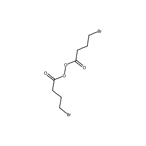 O=C(CCCBr)OOC(=O)CCCBr